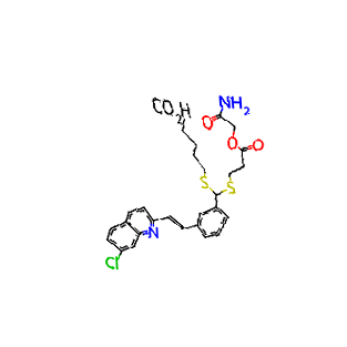 NC(=O)COC(=O)CCSC(SCCCCC(=O)O)c1cccc(C=Cc2ccc3ccc(Cl)cc3n2)c1